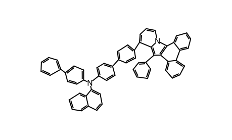 c1ccc(-c2ccc(N(c3ccc(-c4ccc(-c5cccn6c5c(-c5ccccc5)c5c7ccccc7c7ccccc7c56)cc4)cc3)c3cccc4ccccc34)cc2)cc1